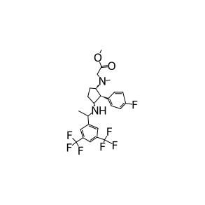 COC(=O)CN(C)[C@@H]1CC[C@H](NC(C)c2cc(C(F)(F)F)cc(C(F)(F)F)c2)[C@@H]1c1ccc(F)cc1